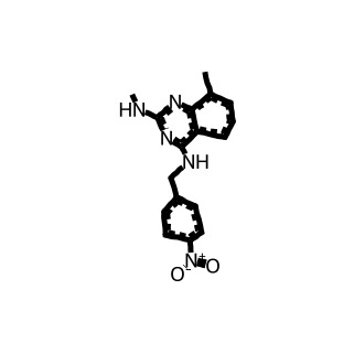 CNc1nc(NCc2ccc([N+](=O)[O-])cc2)c2cccc(C)c2n1